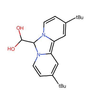 CC(C)(C)C1=CC2=C3C=C(C(C)(C)C)C=CN3C(C(O)O)N2C=C1